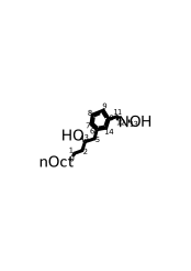 CCCCCCCCCCC(O)Cc1cccc(C=NO)c1